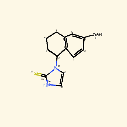 COc1ccc2c(c1)CCCC2n1cc[nH]c1=S